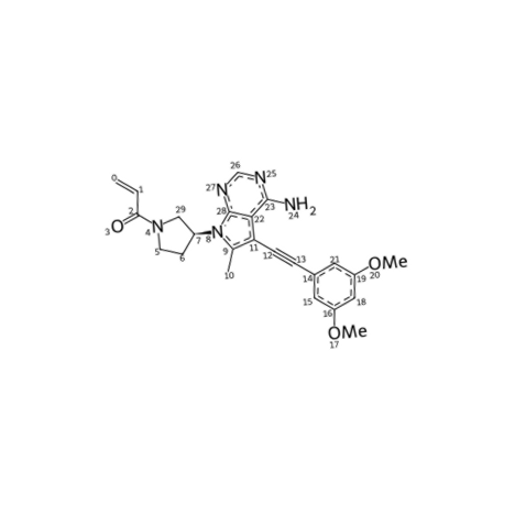 C=CC(=O)N1CC[C@H](n2c(C)c(C#Cc3cc(OC)cc(OC)c3)c3c(N)ncnc32)C1